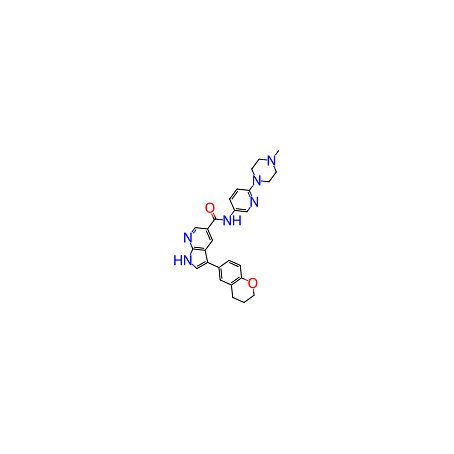 CN1CCN(c2ccc(NC(=O)c3cnc4[nH]cc(-c5ccc6c(c5)CCCO6)c4c3)cn2)CC1